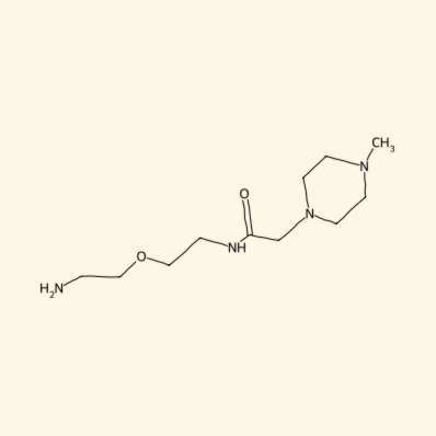 CN1CCN(CC(=O)NCCOCCN)CC1